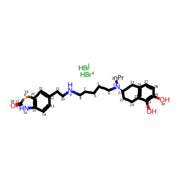 Br.Br.CCCN(CCCCCNCCc1ccc2[nH]c(=O)sc2c1)[C@H]1CCc2c(ccc(O)c2O)C1